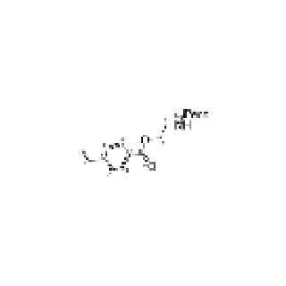 C=Cc1ccc(C(=O)OCCNC(C)CCC)cc1